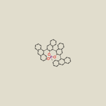 CP1(=O)Oc2c(-c3c4ccccc4cc4ccccc34)cc3ccccc3c2-c2c(c(-c3c4ccccc4cc4ccccc34)cc3ccccc23)O1